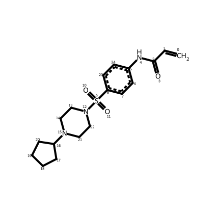 C=CC(=O)Nc1ccc(S(=O)(=O)N2CCN(C3CCCC3)CC2)cc1